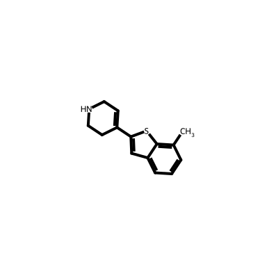 Cc1cccc2cc(C3=CCNCC3)sc12